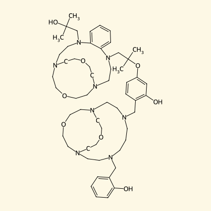 CC(C)(O)CN1CCN2CCOCCN(CCOCC2)CCN(CC(C)(C)Oc2ccc(CN3CCCN(Cc4ccccc4O)CCN4CCOCCN(CCOCC4)CC3)c(O)c2)c2ccccc21